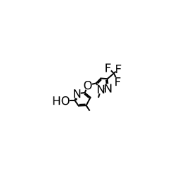 Cc1cc(O)nc(Oc2cc(C(F)(F)F)nn2C)c1